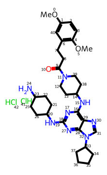 COc1ccc(OC)c(CCC(=O)N2CCC(Nc3nc(NC4CCC(N)CC4)nc4c3ncn4C3CCCC3)CC2)c1.Cl.Cl